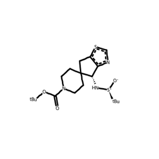 CC(C)(C)OC(=O)N1CCC2(CC1)Cc1scnc1[C@@H]2N[S@@+]([O-])C(C)(C)C